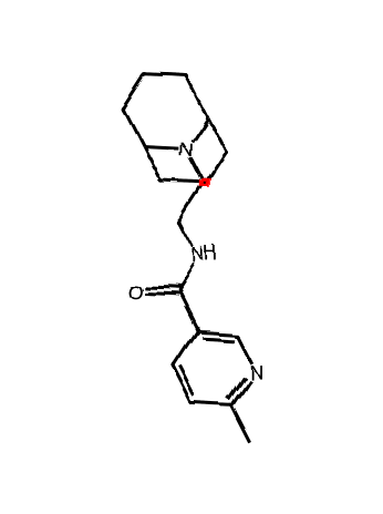 Cc1ccc(C(=O)NCCN2C3CCCC2CCC3)cn1